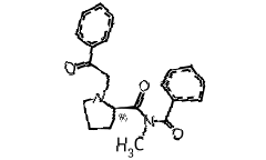 CN(C(=O)c1ccccc1)C(=O)[C@H]1CCCN1CC(=O)c1ccccc1